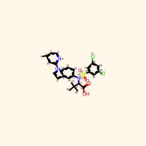 Cc1ccnc(-n2ccc3cc(N(C(C(=O)O)C(C)(C)C)S(=O)(=O)c4cc(Cl)cc(Cl)c4)ccc32)c1